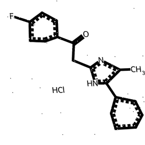 Cc1nc(CC(=O)c2ccc(F)cc2)[nH]c1-c1ccccc1.Cl